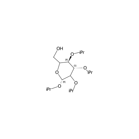 CC(C)OC1[C@H](OC(C)C)OC(CO)[C@@H](OC(C)C)[C@@H]1OC(C)C